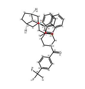 Cc1nc2ccccc2n1[C@H]1C[C@H]2CC[C@@H](C1)N2CCC1(c2ccccc2)CCN(C(=O)c2ccc(C(F)(F)F)cc2)CC1